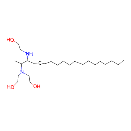 CCCCCCCCCCCCCCCCC(NCCO)C(C)N(CCO)CCO